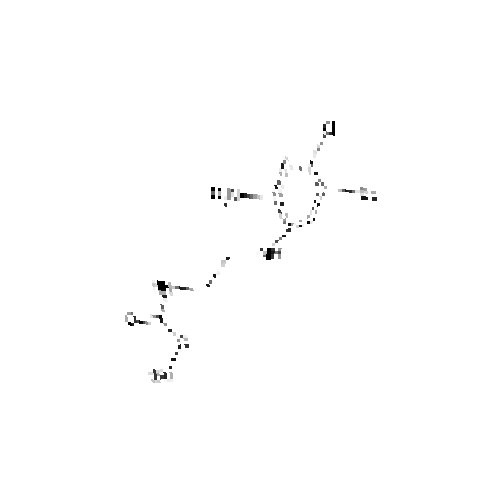 CCc1cc(NCCNC(=O)OC(C)(C)C)c([N+](=O)[O-])cc1Cl